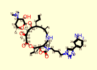 C=CC[C@H]1C[C@@H](C)CN[C@H](C)[C@H]2N(CCCCn3cc(-c4cccc(N)c4)nn3)C(=O)O[C@]2(C)[C@@H](CC)OC(=O)[C@H](C)C(=O)[C@H](C)[C@H]1O[C@@H]1O[C@H](C)CC(N(C)C)C1O